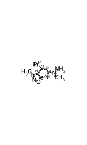 Cc1noc2nc(N(C)N)cc(C(C)C)c12